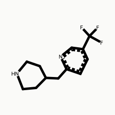 FC(F)(F)c1ccc(CC2CCNCC2)nc1